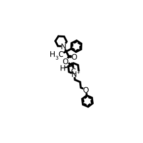 CC(C(=O)O[C@H]1C[N+]2(CCCOc3ccccc3)CCC1CC2)(c1ccccc1)N1CCCCC1